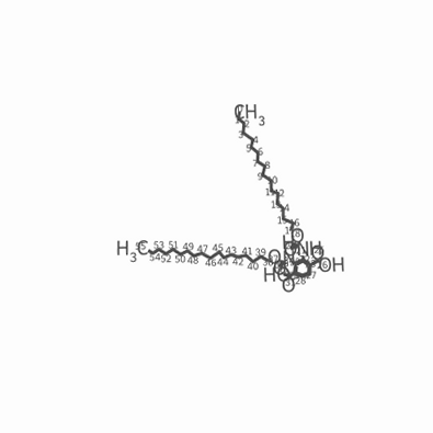 CCCCCCCCCCCCCCCCCCOC(=O)Nc1c(C(=O)O)ccc(C(=O)O)c1NC(=O)OCCCCCCCCCCCCCCCCCC